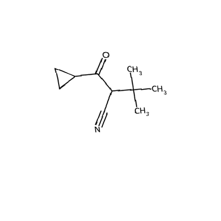 CC(C)(C)C(C#N)C(=O)C1CC1